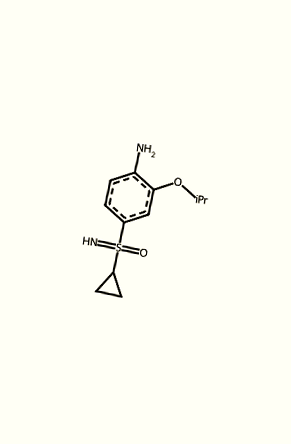 CC(C)Oc1cc(S(=N)(=O)C2CC2)ccc1N